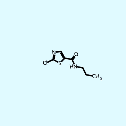 CCCNC(=O)c1cnc(Cl)s1